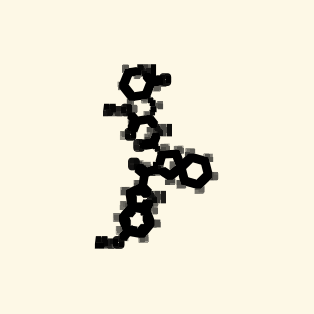 COC(=O)[C@H](C[C@@H]1CCCNC1=O)NC(=O)[C@@H]1CC2(CCCCC2)CN1C(=O)c1cc2cc(OC)ccc2[nH]1